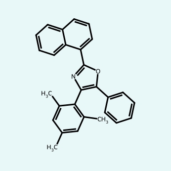 Cc1cc(C)c(-c2nc(-c3cccc4ccccc34)oc2-c2ccccc2)c(C)c1